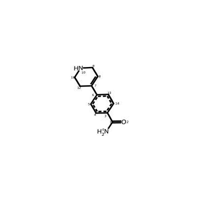 NC(=O)c1ccc(C2=CCNCC2)cc1